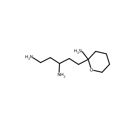 NCCC(N)CCC1([SiH3])CCCCO1